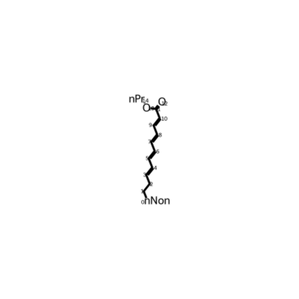 CCCCCCCCCCCC=CC=CC=CC=CC(=O)OCCC